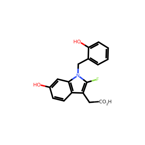 O=C(O)Cc1c(F)n(Cc2ccccc2O)c2cc(O)ccc12